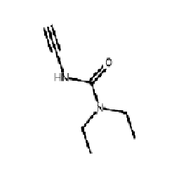 C#CNC(=O)N(CC)CC